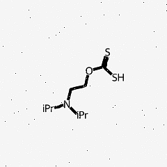 CC(C)N(CCOC(=S)S)C(C)C